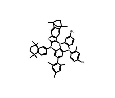 Cc1cc(C)c(-c2cc3c4c(c2)N(c2ccc5c(c2)C(C)(C)CCC5(C)C)c2sc5cc6c(cc5c2B4c2cc(C(C)(C)C)ccc2N3c2ccc(C(C)(C)C)cc2C)C2(C)CCC6(C)CC2)c(C)c1